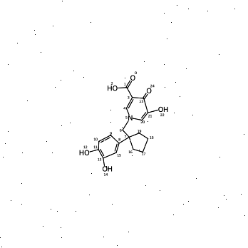 O=C(O)c1cn(CC2(c3ccc(O)c(O)c3)CCCC2)cc(O)c1=O